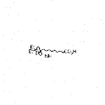 CCC(CC)(CC)OC(=O)CCCCCCCCC(=O)O.N